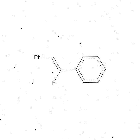 CC/C=C(\F)c1ccccc1